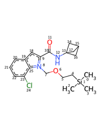 C[Si](C)(C)CCOCn1c(C(=O)NC23CC(C2)C3)cc2cccc(Cl)c21